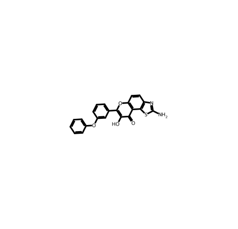 Nc1nc2ccc3oc(-c4cccc(Oc5ccccc5)c4)c(O)c(=O)c3c2s1